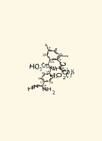 CC(=O)O.Cc1cc(C)c(OCC(=O)O)c(C(Nc2ccc(C(=N)N)cc2)C(=O)O)c1